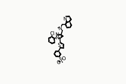 CN(Cc1cc(-c2ccc(-c3cccc(S(C)(=O)=O)c3)s2)n(-c2ccccc2Cl)n1)Cc1cccc2cccnc12